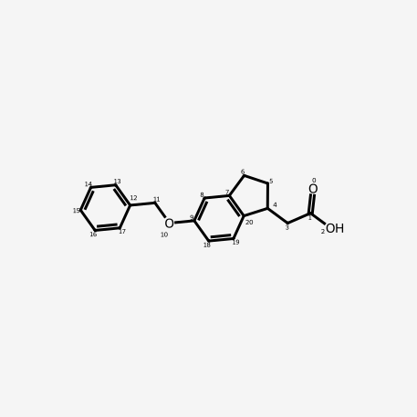 O=C(O)CC1CCc2cc(OCc3ccccc3)ccc21